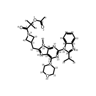 CC(=O)OC(C)(C)C(=O)N1CC(Cc2nc3c(N4CCOCC4)nc(-n4c(C(C)C)nc5ccccc54)nc3n2C)C1